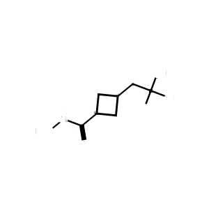 CNC(=O)C1CC(CC(C)(C)C)C1